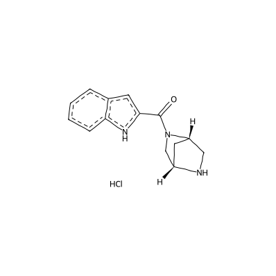 Cl.O=C(c1cc2ccccc2[nH]1)N1C[C@@H]2C[C@H]1CN2